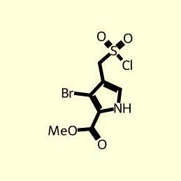 COC(=O)c1[nH]cc(CS(=O)(=O)Cl)c1Br